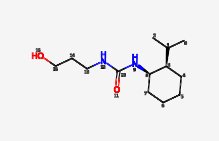 CC(C)[C@H]1CCCC[C@H]1NC(=O)NCCCO